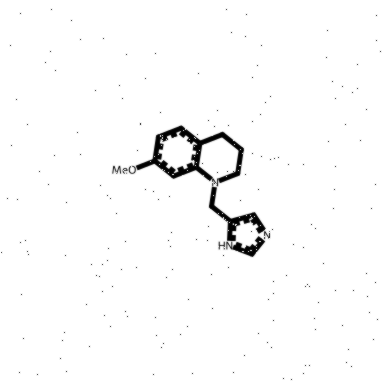 COc1ccc2c(c1)N(Cc1cnc[nH]1)CCC2